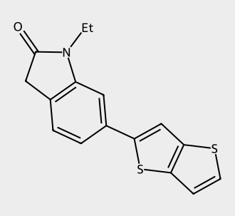 CCN1C(=O)Cc2ccc(-c3cc4sccc4s3)cc21